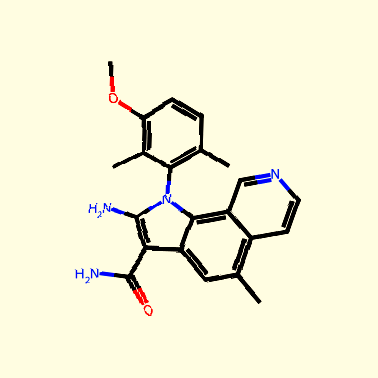 COc1ccc(C)c(-n2c(N)c(C(N)=O)c3cc(C)c4ccncc4c32)c1C